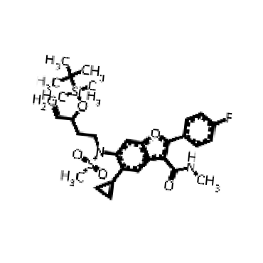 C=CC(CCN(c1cc2oc(-c3ccc(F)cc3)c(C(=O)NC)c2cc1C1CC1)S(C)(=O)=O)O[Si](C)(C)C(C)(C)C